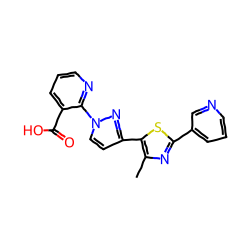 Cc1nc(-c2cccnc2)sc1-c1ccn(-c2ncccc2C(=O)O)n1